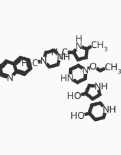 CC1CCC(C)N1.CCON1CCNCC1.CN1CCNCC1.OC1CCNC1.OC1CCNCC1.c1ccc2ncccc2c1